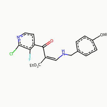 CCOC(=O)C(=CNCc1ccc(OC)cc1)C(=O)c1ccnc(Cl)c1F